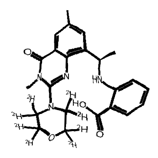 [2H]C1([2H])OC([2H])([2H])C([2H])([2H])N(c2nc3c([C@@H](C)Nc4ccccc4C(=O)O)cc(C)cc3c(=O)n2C)C1([2H])[2H]